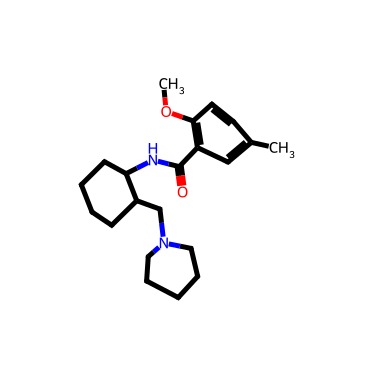 COc1ccc(C)cc1C(=O)NC1CCCCC1CN1CCCCC1